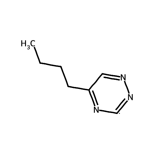 CCCCc1cnn[c]n1